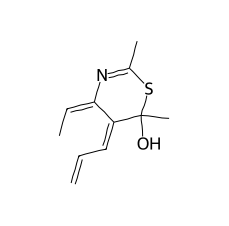 C=C/C=C1\C(=C/C)N=C(C)SC1(C)O